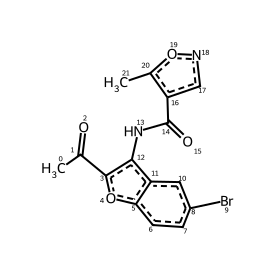 CC(=O)c1oc2ccc(Br)cc2c1NC(=O)c1cnoc1C